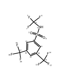 O=S(=O)(NC(F)(F)F)c1cc(C(F)(F)F)cc(C(F)(F)F)c1